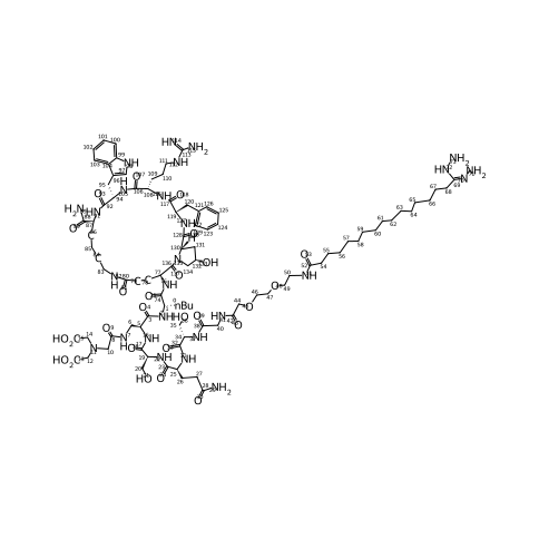 CCCC[C@H](NC(=O)[C@H](CNC(=O)CN(CC(=O)O)CC(=O)O)NC(=O)[C@H](CO)NC(=O)[C@H](CCC(N)=O)NC(=O)[C@H](CO)NC(=O)CNC(=O)COCCOCCNC(=O)CCCCCCCCCCCCCCC/C(=N/N)NN)C(=O)N[C@H]1CCC(=O)NCCCC[C@@H](C(N)=O)NC(=O)[C@H](Cc2c[nH]c3ccccc23)NC(=O)[C@H](CCCNC(=N)N)NC(=O)[C@@H](Cc2ccccc2)NC(=O)[C@@H]2C[C@@H](O)CN2C1=O